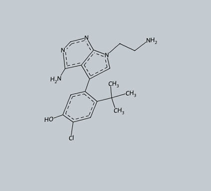 CC(C)(C)c1cc(Cl)c(O)cc1-c1cn(CCN)c2ncnc(N)c12